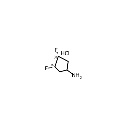 Cl.NC1C[C@@H](F)[C@@H](F)C1